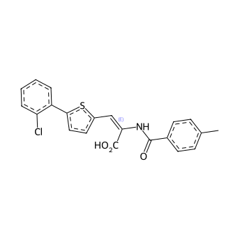 Cc1ccc(C(=O)N/C(=C/c2ccc(-c3ccccc3Cl)s2)C(=O)O)cc1